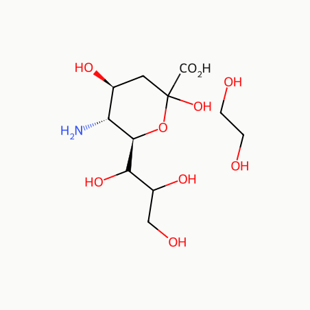 N[C@@H]1[C@@H](O)CC(O)(C(=O)O)O[C@H]1C(O)C(O)CO.OCCO